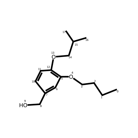 CCCCOc1cc(CO)ccc1OCC(C)C